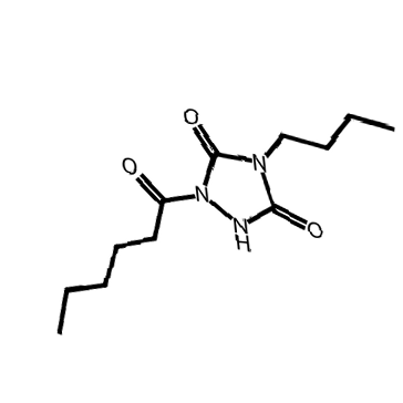 CCCCCC(=O)n1[nH]c(=O)n(CCCC)c1=O